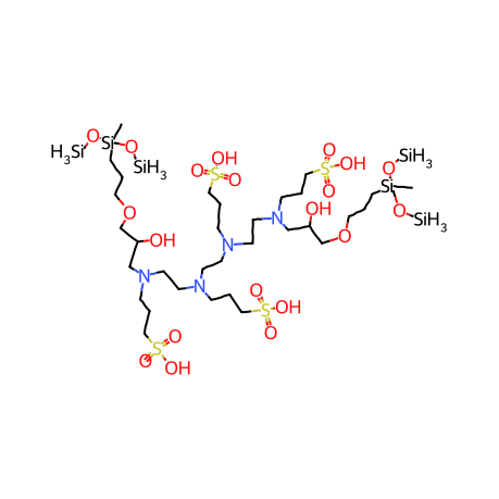 C[Si](CCCOCC(O)CN(CCCS(=O)(=O)O)CCN(CCCS(=O)(=O)O)CCN(CCCS(=O)(=O)O)CCN(CCCS(=O)(=O)O)CC(O)COCCC[Si](C)(O[SiH3])O[SiH3])(O[SiH3])O[SiH3]